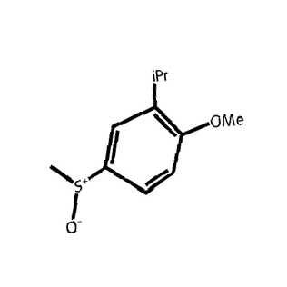 COc1ccc([S+](C)[O-])cc1C(C)C